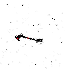 O=C(OCCCCCCCCCCCCCCCCOC(=O)c1ccc2c(c1)C(=O)OC2=O)c1ccc2c(c1)C(=O)OC2=O